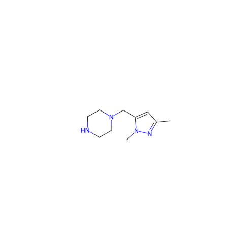 Cc1cc(CN2CCNCC2)n(C)n1